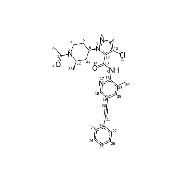 CC(=O)N1CC[C@@H](n2ncc(Cl)c2C(=O)Nc2ncc(C#Cc3ccccc3)cc2C)C[C@H]1C